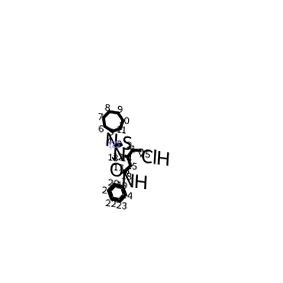 CC1S/C(=N\C2CCCCCC2)N(C)C1CC(=O)Nc1ccccc1.Cl